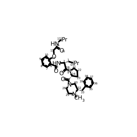 CC(C)C[C@@H](NC(=O)c1ccccc1OCC(=O)NC(C)C)C(=O)N1CCC[C@@H]1C(=O)N1CCN(C)[C@@H](Cc2ccccc2)C1